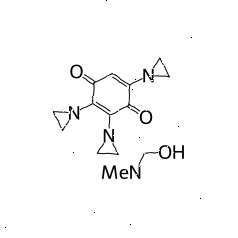 CNCO.O=C1C=C(N2CC2)C(=O)C(N2CC2)=C1N1CC1